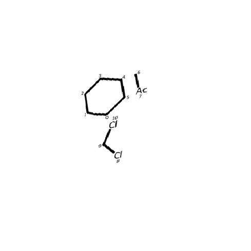 C1CCCCC1.CC(C)=O.ClCCl